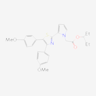 CCC(CC)OC(=O)Cn1cccc1-c1nc(-c2ccc(OC)cc2)c(-c2ccc(OC)cc2)s1